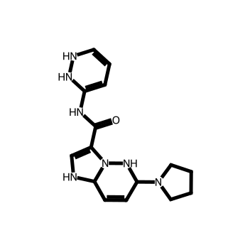 O=C(NC1=CC=CNN1)C1=CNC2C=CC(N3CCCC3)NN12